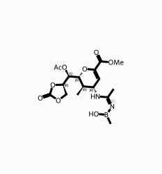 COC(=O)C1=C[C@H](N/C(C)=N\B(C)O)[C@@H](C)[C@H]([C@H](OC(C)=O)[C@H]2COC(=O)O2)O1